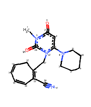 Cn1c(=O)cc(N2CCCCC2)n(CC2=C(C#N)C=CC=CC2)c1=O